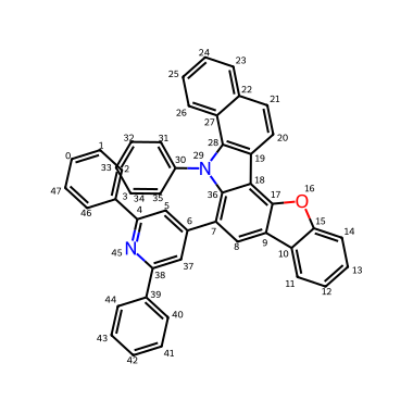 c1ccc(-c2cc(-c3cc4c5ccccc5oc4c4c5ccc6ccccc6c5n(-c5ccccc5)c34)cc(-c3ccccc3)n2)cc1